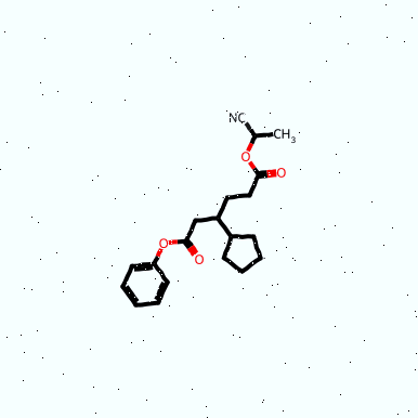 CC(C#N)OC(=O)C[CH]C(CC(=O)Oc1ccccc1)C1C[CH]CC1